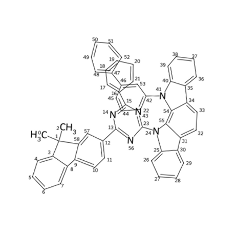 CC1(C)c2ccccc2-c2ccc(-c3nc(-c4ccccc4)nc(-n4c5ccccc5c5ccc6c7ccccc7n(-c7cccc(-c8ccccc8)c7)c6c54)n3)cc21